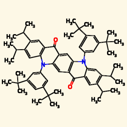 CC(C)c1cc2c(=O)c3cc4c(cc3n(-c3cc(C(C)(C)C)cc(C(C)(C)C)c3)c2cc1C(C)C)c(=O)c1cc(C(C)C)c(C(C)C)cc1n4-c1cc(C(C)(C)C)cc(C(C)(C)C)c1